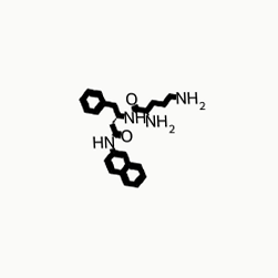 NCCC[C@H](N)C(=O)N[C@H](CC(=O)Nc1ccc2ccccc2c1)Cc1ccccc1